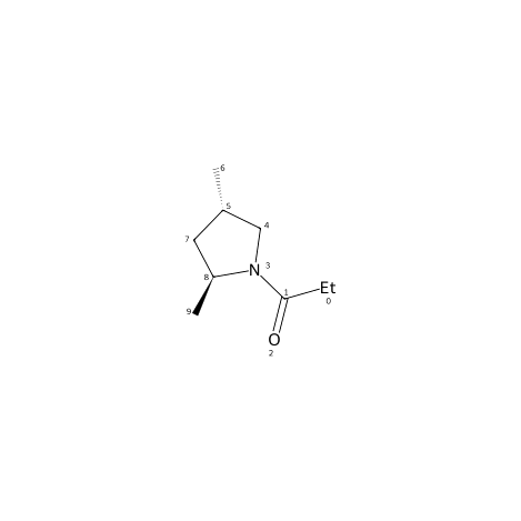 CCC(=O)N1C[C@@H](C)C[C@@H]1C